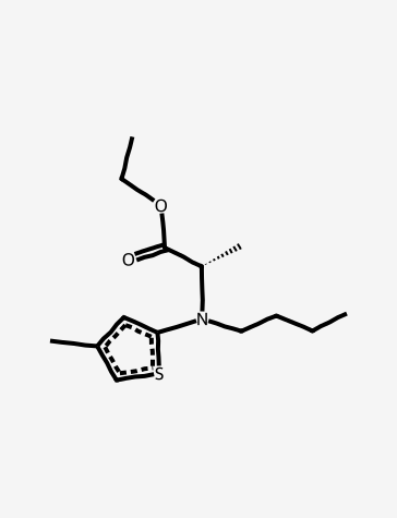 CCCCN(c1cc(C)cs1)[C@@H](C)C(=O)OCC